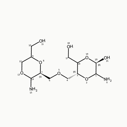 NC1O[C@H](COC[C@@H]2OC(CO)COC2N)C(CO)O[C@H]1O